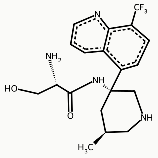 C[C@@H]1CNC[C@](NC(=O)[C@@H](N)CO)(c2ccc(C(F)(F)F)c3ncccc23)C1